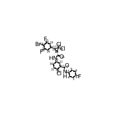 O=C(Nc1ccc(F)cc1)c1cc(NC(=O)[C@@H]2[C@@H](c3cc(F)c(Br)c(F)c3)C2(Cl)Cl)ccc1Cl